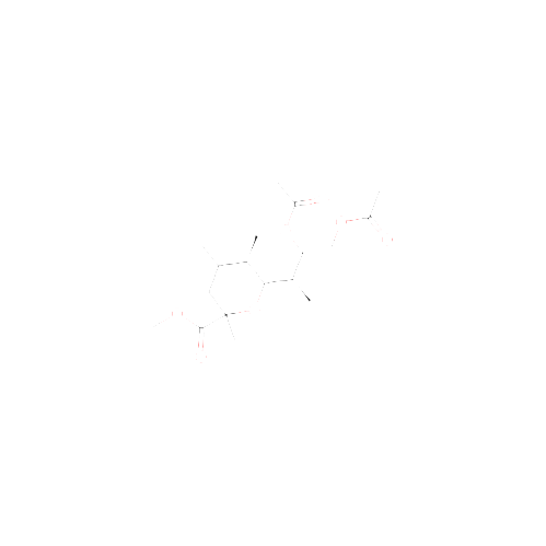 COC(=O)C1(C)CC(C)[C@@H](C)C([C@H](C)[C@@H](COC(C)=O)OC(C)=O)O1